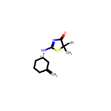 C=C1CCC[C@H](NC2=NC(=O)C(C)(CCC)S2)C1